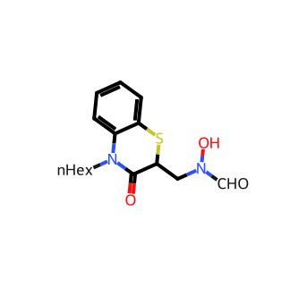 CCCCCCN1C(=O)C(CN(O)C=O)Sc2ccccc21